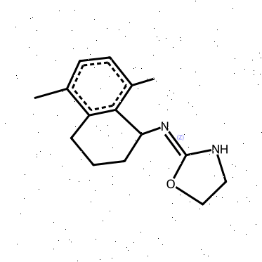 Cc1ccc(C)c2c1CCCC2/N=C1/NCCO1